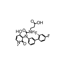 Cn1ccc(O)c(N(C(=O)NCCC(=O)O)c2cccc(-c3ccc(F)cc3F)c2)c1=O